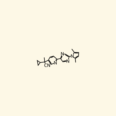 Cc1ccc(C)n1-c1cnc(-c2ccc(C(C)(C#N)C3CC3)cn2)cn1